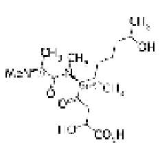 CN[C@@H](C)C(=O)N(C)[C@H](C(=O)CC(O)C(=O)O)[C@@H](C)CCCC(C)O